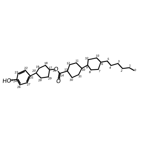 CCCCCCC1CCC(C2CCC(C(=O)OC3CCC(c4ccc(O)cc4)CC3)CC2)CC1